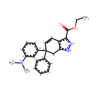 CCOC(=O)c1n[nH]c2c1C=CC(c1ccccc1)(c1cccc(N(C)C)c1)C2